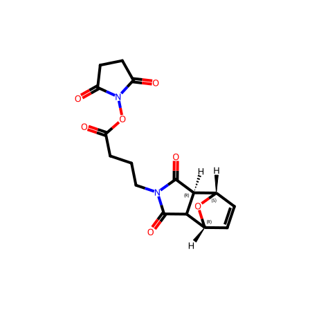 O=C(CCCN1C(=O)C2[C@@H](C1=O)[C@@H]1C=C[C@H]2O1)ON1C(=O)CCC1=O